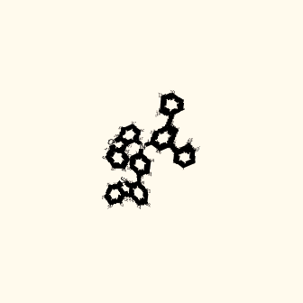 c1ccc(-c2cc(-c3ccccc3)cc(N(c3ccc(-c4cccc5c4sc4ccccc45)cc3)c3cccc4oc5ccccc5c34)c2)cc1